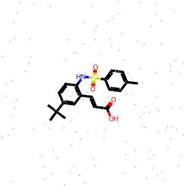 Cc1ccc(S(=O)(=O)Nc2ccc(C(C)(C)C)cc2C=CC(=O)O)cc1